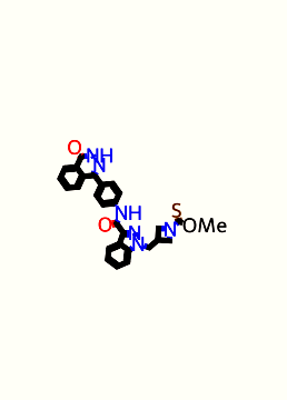 COC(=S)N1CC(Cn2nc(C(=O)Nc3ccc(-c4n[nH]c(=O)c5ccccc45)cc3)c3ccccc32)C1